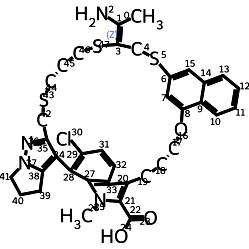 C/C(N)=C1\CSc2cc(c3ccccc3c2)OCCCc2c(C(=O)O)n(C)c3c(c(Cl)ccc23)-c2c(nn3c2CCC3)CSCCCS1